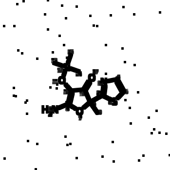 CC1(c2nccs2)OC(N)=C(O[Si](C)(C)C)C1=O